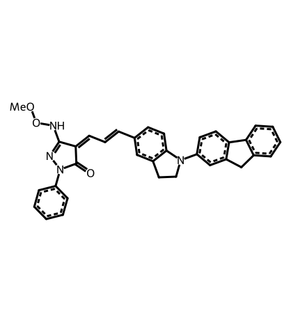 COONC1=NN(c2ccccc2)C(=O)/C1=C\C=C\c1ccc2c(c1)CCN2c1ccc2c(c1)Cc1ccccc1-2